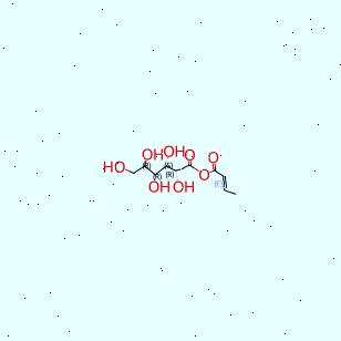 C/C=C/C(=O)OC(=O)[C@H](O)[C@@H](O)[C@H](O)[C@H](O)CO